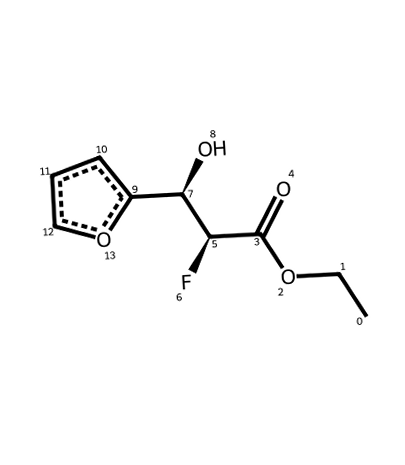 CCOC(=O)[C@@H](F)[C@H](O)c1ccco1